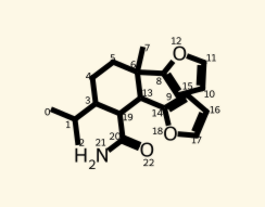 CC(C)C1CCC(C)(c2ccco2)C(c2ccco2)C1C(N)=O